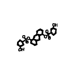 O=S(=O)(Oc1cccc2cc3c(OS(=O)(=O)c4cccc(O)c4)cccc3cc12)c1cccc(O)c1